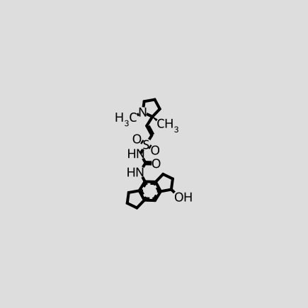 CN1CCC[C@]1(C)/C=C/S(=O)(=O)NC(=O)Nc1c2c(cc3c1CCC3O)CCC2